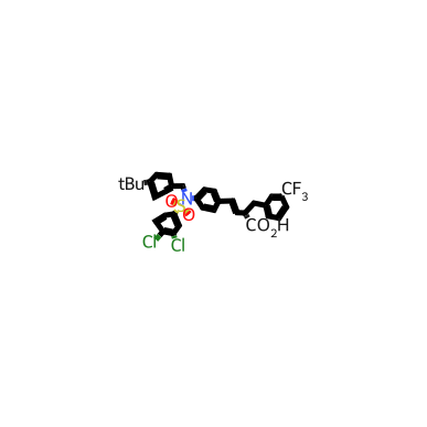 CC(C)(C)c1ccc(CN(c2ccc(C=CC(Cc3cccc(C(F)(F)F)c3)C(=O)O)cc2)S(=O)(=O)c2ccc(Cl)c(Cl)c2)cc1